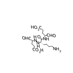 NCCCC[C@H](NN[C@H](C=O)CCC(=O)O)C(=O)N[C@H](C=O)CCC(=O)O